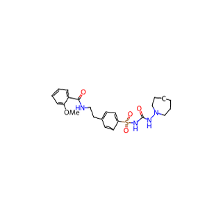 COc1ccccc1C(=O)NCCc1ccc(S(=O)(=O)NC(=O)NN2CCCCCC2)cc1